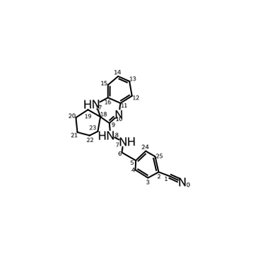 N#Cc1ccc(CNNC2=Nc3ccccc3NC23CCCCC3)cc1